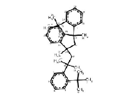 CC(C)(C)c1ccccc1C(C)(C)CC1(C)CC(C)(c2ccccc2C(C)(C)C)c2ccccc21